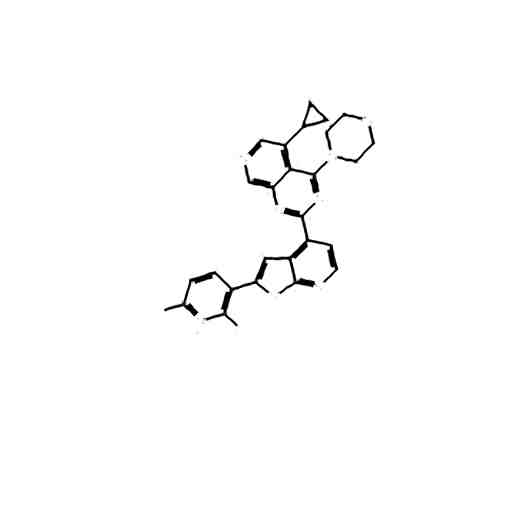 Fc1ccc(-c2cc3c(-c4nc(N5CCNCC5)c5c(C6CC6)cncc5n4)ccnc3[nH]2)c(F)n1